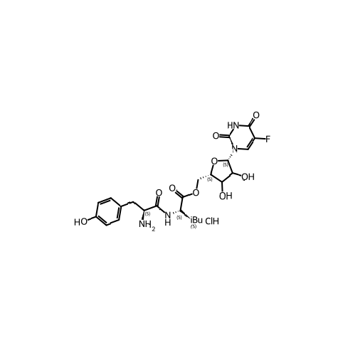 CC[C@H](C)[C@H](NC(=O)[C@@H](N)Cc1ccc(O)cc1)C(=O)OC[C@@H]1O[C@H](n2cc(F)c(=O)[nH]c2=O)C(O)C1O.Cl